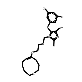 Cc1nc(C(C)C)c(Sc2cc(Cl)cc(Cl)c2)n1COCCOC1=CCCCCCCCC1